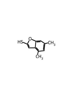 Cc1cc(C)c2cc(S)oc2c1